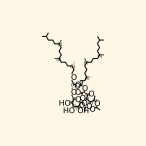 CC(=O)OC[C@H]1OC[C@H](OC(C)=O)[C@@H](OC(C)=O)[C@]1(OC(C)=O)O[C@H]1O[C@H](COC[C@H](COCC[C@@H](C)CCC[C@@H](C)CCC[C@H](C)CCCC(C)C)OCC[C@@H](C)CCC[C@@H](C)CCC[C@H](C)CCCC(C)C)[C@@H](O)[C@H](O)[C@H]1O